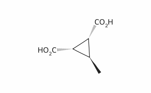 C[C@@H]1[C@@H](C(=O)O)[C@H]1C(=O)O